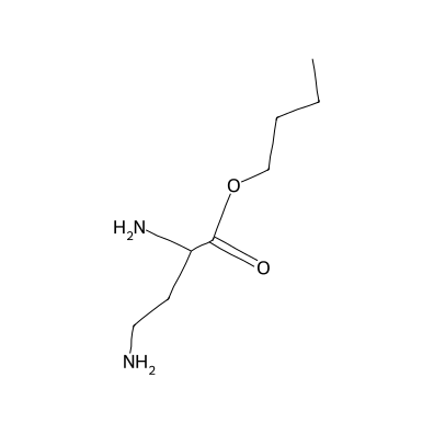 CCCCOC(=O)C(N)CCN